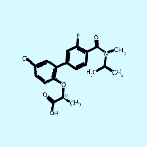 CC(C)N(C)C(=O)c1ccc(-c2cc(Cl)ccc2O[C@@H](C)C(=O)O)cc1F